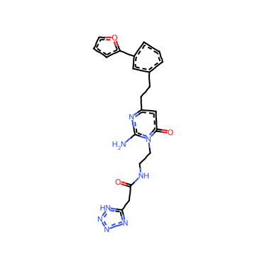 Nc1nc(CCc2cccc(-c3ccco3)c2)cc(=O)n1CCNC(=O)Cc1nnn[nH]1